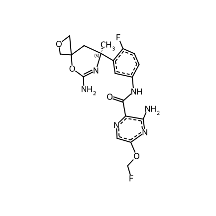 C[C@@]1(c2cc(NC(=O)c3ncc(OCF)nc3N)ccc2F)CC2(COC2)OC(N)=N1